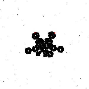 N#Cc1c(-n2c3ccc(-c4ccccc4)cc3c3cc(-c4ccccc4)ccc32)c(-n2c3ccc(-c4ccccc4)cc3c3cc(-c4ccccc4)ccc32)c(-n2c3ccc(-c4ccccc4)cc3c3cc(-c4ccccc4)ccc32)c2c1sc1ccccc12